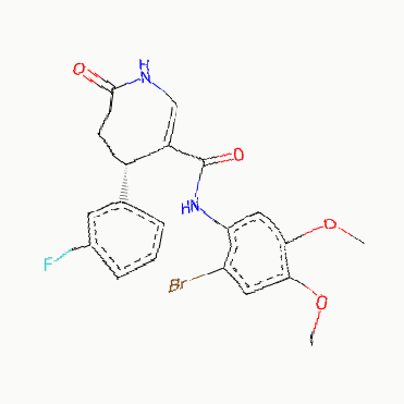 COc1cc(Br)c(NC(=O)C2=CNC(=O)C[C@H]2c2cccc(F)c2)cc1OC